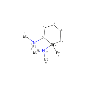 CCN(CC)C1CCCC[Si]1(CC)N(CC)CC